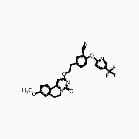 COc1ccc2c(c1)CCn1c-2cc(OCCc2ccc(Oc3ccc(C(F)(F)F)cn3)c(C#N)c2)nc1=O